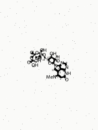 CNC1=CC(=O)Nc2ncnc3c2c1cn3[C@@H]1O[C@H](COP(=O)(O)OP(=O)(O)OP(=O)(O)O)[C@@H](O)[C@@]1(C)O